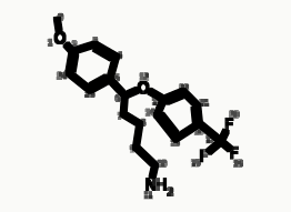 COc1ccc(C(CCCCN)Oc2ccc(C(F)(F)F)cc2)cc1